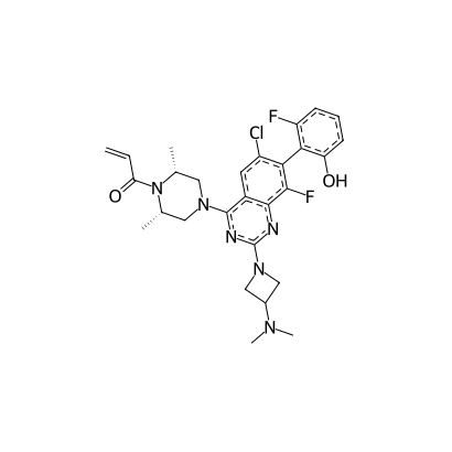 C=CC(=O)N1[C@H](C)CN(c2nc(N3CC(N(C)C)C3)nc3c(F)c(-c4c(O)cccc4F)c(Cl)cc23)C[C@@H]1C